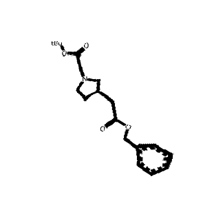 CC(C)(C)OC(=O)N1CCC(CC(=O)OCc2ccccc2)C1